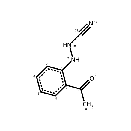 CC(=O)c1ccccc1NNC#N